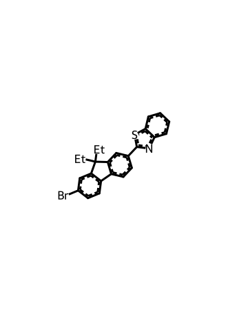 CCC1(CC)c2cc(Br)ccc2-c2ccc(-c3nc4ccccc4s3)cc21